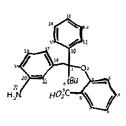 CC(C)(C)C(Oc1ccccc1C(=O)O)(c1ccccc1)c1cccc(N)c1